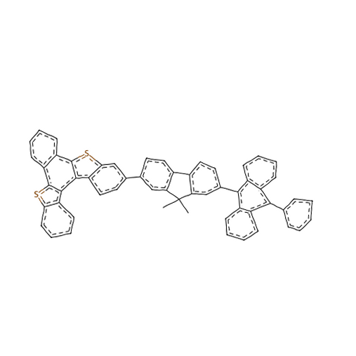 CC1(C)c2cc(-c3ccc4c(c3)sc3c5ccccc5c5sc6ccccc6c5c43)ccc2-c2ccc(-c3c4ccccc4c(-c4ccccc4)c4ccccc34)cc21